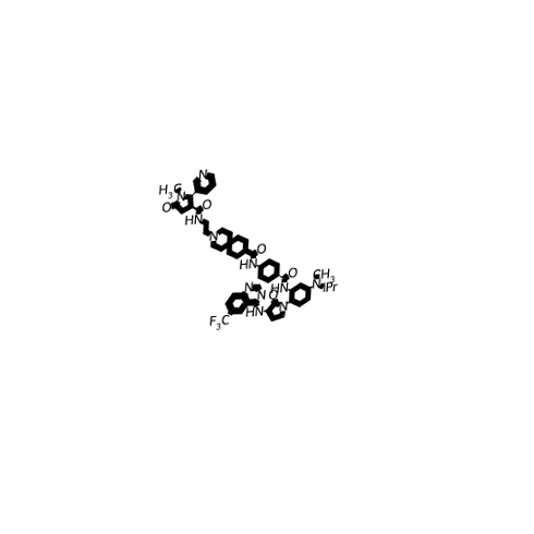 CC(C)N(C)[C@@H]1CC[C@H](N2CC[C@H](Nc3ncnc4ccc(C(F)(F)F)cc34)C2=O)[C@H](NC(=O)[C@H]2CC[C@@H](NC(=O)C3CCC4(CC3)CCN(CCNC(=O)[C@H]3CC(=O)N(C)[C@@H]3c3cccnc3)CC4)CC2)C1